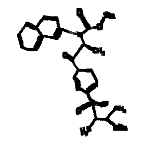 CCCCC(N)C(N)S(=O)(=O)c1ccc(C(=O)[C@H](C)N(C(=O)OC(C)(C)C)c2ccc3ccccc3c2)cc1